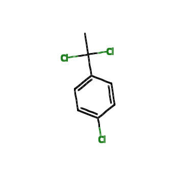 CC(Cl)(Cl)c1ccc(Cl)cc1